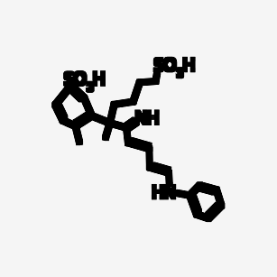 Cc1ccc(S(=O)(=O)O)cc1C(C)(CCCCS(=O)(=O)O)C(=N)C=CC=CNc1ccccc1